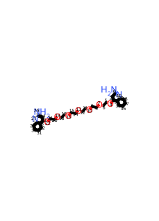 Nc1cc(OCCOCCOCCOCCOCCOCCOc2cc(N)nc3ccccc23)c2ccccc2n1